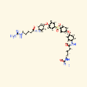 N=C(N)NCCCCC(=O)Nc1ccc(Oc2ccc(S(=O)(=O)c3ccc(Oc4ccc(NC(=O)CCCCNC(N)=O)cc4)cc3)cc2)cc1